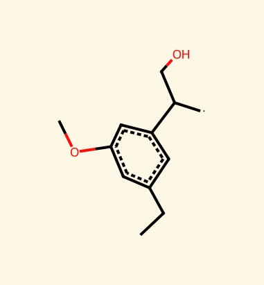 [CH2]C(CO)c1cc(CC)cc(OC)c1